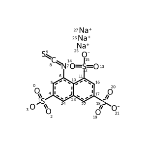 O=S(=O)([O-])c1cc(N=C=S)c2c(S(=O)(=O)[O-])cc(S(=O)(=O)[O-])cc2c1.[Na+].[Na+].[Na+]